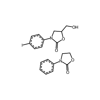 O=C1OC(CO)CN1c1ccc(I)cc1.O=C1OCCN1c1ccccc1